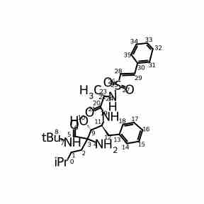 CC(C)CCC(N)(C(=O)NC(C)(C)C)[C@H](O)[C@H](Cc1ccccc1)NC(=O)[C@H](C)NS(=O)(=O)/C=C/c1ccccc1